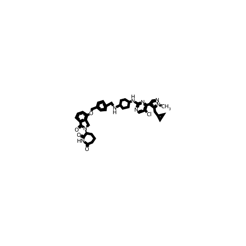 Cn1ncc(-c2nc(NC3CCC(NCc4ccc(COc5cccc6c5CN([C@H]5CCCC(=O)NC5=O)C6=O)cc4)CC3)ncc2Cl)c1CC1CC1